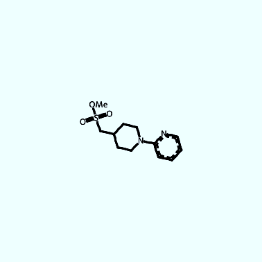 COS(=O)(=O)CC1CCN(c2ccccn2)CC1